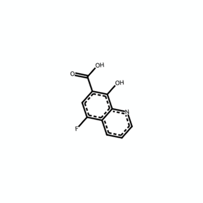 O=C(O)c1cc(F)c2cccnc2c1O